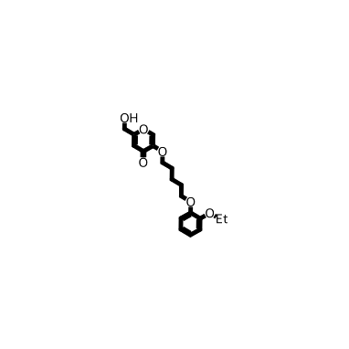 CCOc1ccccc1OCCCCCOc1coc(CO)cc1=O